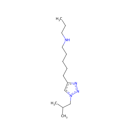 CCCNCCCCCc1cn(CC(C)C)nn1